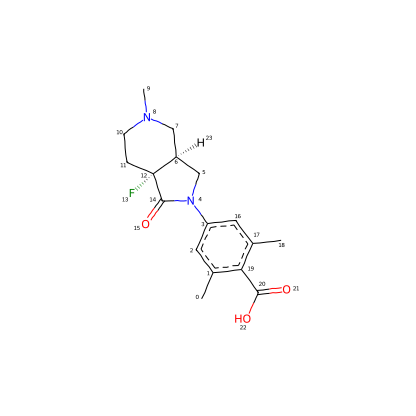 Cc1cc(N2C[C@@H]3CN(C)CC[C@]3(F)C2=O)cc(C)c1C(=O)O